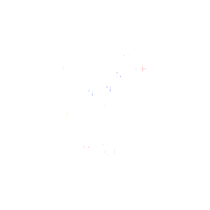 COC(=O)c1ccc(CN(C(=O)N2CCN(C(=O)O)CC2)c2cccc(F)c2)c(F)c1